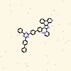 C1=CNC(c2nc3c4cnccc4c4ccccc4c3n2-c2ccc(-c3ccc(-c4nc(-c5ccccc5)nc(-c5ccc(-c6ccccc6)cc5)n4)cc3)cc2)C=C1